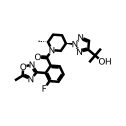 Cc1nc(-c2c(F)cccc2C(=O)N2C[C@H](n3ncc(C(C)(C)O)n3)CC[C@H]2C)no1